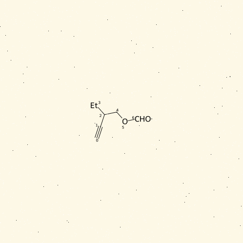 C#CC(CC)CO[C]=O